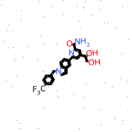 NC(=O)c1cc([C@@H](O)CO)cc(-c2ccc3c(ccn3Cc3ccc(C(F)(F)F)cc3)c2)n1